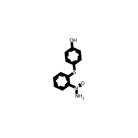 N[N+](=O)c1c[c]ccc1Sc1ccc(O)cc1